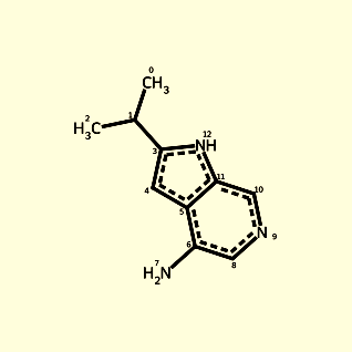 CC(C)c1cc2c(N)cncc2[nH]1